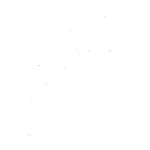 NSc1ccc(N2CCC(C(=O)/C(=N/O)Nc3ccc(F)c(Br)c3)CC2)cc1